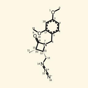 COc1ccc(CN2C(=O)[C@@H](C)[C@H]2CN=[N+]=[N-])c(OC)c1